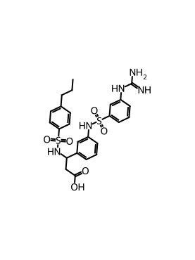 CCCc1ccc(S(=O)(=O)NC(CC(=O)O)c2cccc(NS(=O)(=O)c3cccc(NC(=N)N)c3)c2)cc1